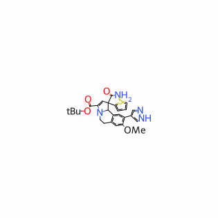 COc1cc2c(cc1-c1cn[nH]c1)C1N(CC2)C(C(=O)OC(C)(C)C)=CC1(C(N)=O)c1cccs1